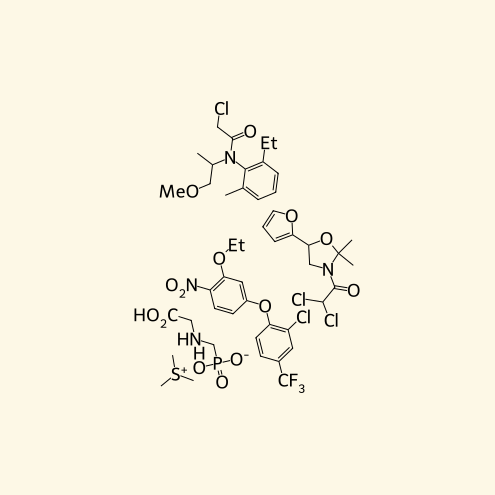 CC1(C)OC(c2ccco2)CN1C(=O)C(Cl)Cl.CCOc1cc(Oc2ccc(C(F)(F)F)cc2Cl)ccc1[N+](=O)[O-].CCc1cccc(C)c1N(C(=O)CCl)C(C)COC.C[S+](C)C.O=C(O)CNCP(=O)([O-])O